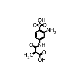 C=C(C(=O)O)C(=O)Nc1ccc(S(=O)(=O)O)c(N)c1